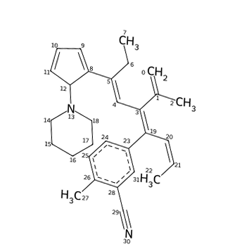 C=C(C)C(/C=C(\CC)C1=CC=CC1N1CCCCC1)=C(\C=C/C)c1ccc(C)c(C#N)c1